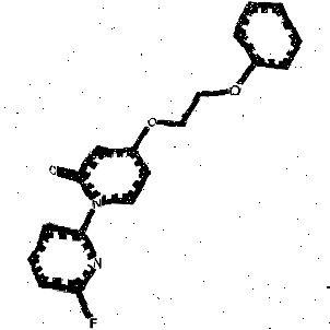 O=c1cc(OCCOc2ccccc2)ccn1-c1cccc(F)n1